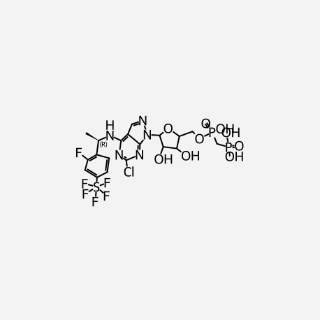 C[C@@H](Nc1nc(Cl)nc2c1cnn2C1OC(COP(=O)(O)CP(=O)(O)O)C(O)C1O)c1ccc(S(F)(F)(F)(F)F)cc1F